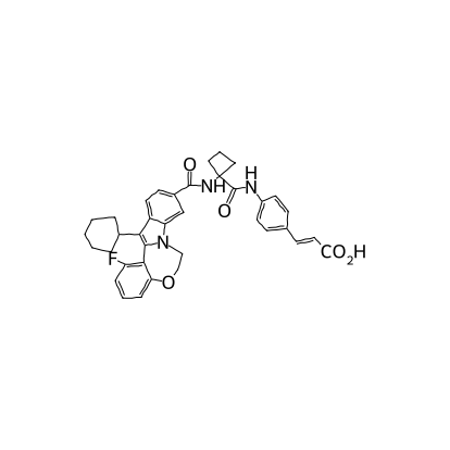 O=C(O)/C=C/c1ccc(NC(=O)C2(NC(=O)c3ccc4c(C5CCCCC5)c5n(c4c3)CCOc3cccc(F)c3-5)CCC2)cc1